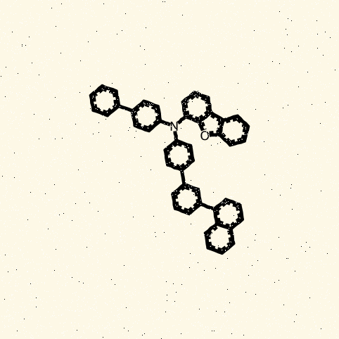 c1ccc(-c2ccc(N(c3ccc(-c4cccc(-c5cccc6ccccc56)c4)cc3)c3cccc4c3oc3ccccc34)cc2)cc1